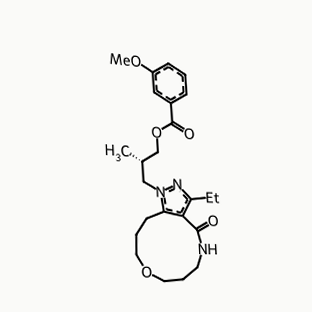 CCc1nn(C[C@H](C)COC(=O)c2cccc(OC)c2)c2c1C(=O)NCCCOCCC2